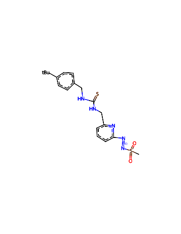 CC(C)(C)c1ccc(CNC(=S)NCc2cccc(/N=N/S(C)(=O)=O)n2)cc1